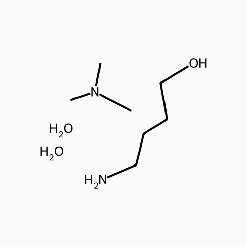 CN(C)C.NCCCCO.O.O